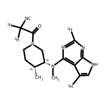 [2H]c1nc(N(C)[C@H]2CN(C(=O)C([2H])([2H])[N+]#[C-])CC[C@H]2C)c2c([2H])c[nH]c2n1